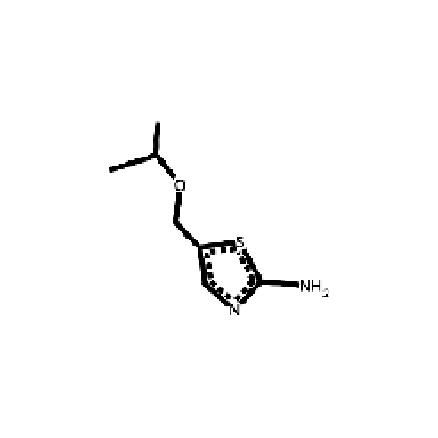 CC(C)OCc1cnc(N)s1